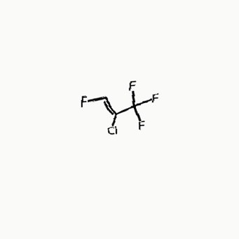 F/C=C(\Cl)C(F)(F)F